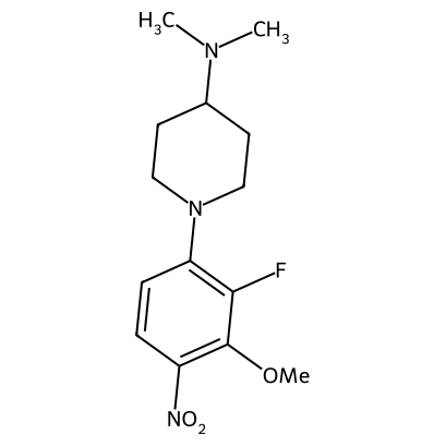 COc1c([N+](=O)[O-])ccc(N2CCC(N(C)C)CC2)c1F